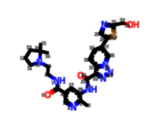 Cc1ncc(C(=O)NCCN2CCCC2(C)C)cc1NC(=O)c1nnn2cc(-c3cnc(CO)s3)ccc12